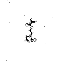 C=C(C)C(=O)OCCN1CC=NC1=O